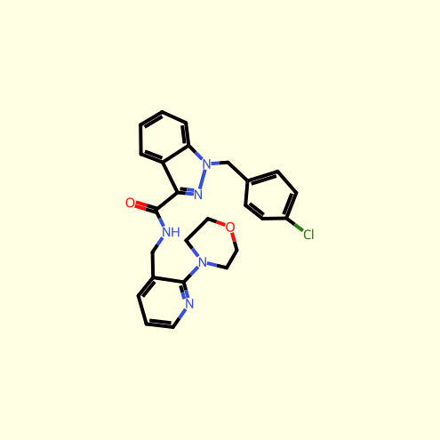 O=C(NCc1cccnc1N1CCOCC1)c1nn(Cc2ccc(Cl)cc2)c2ccccc12